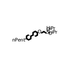 CCCCC[C@H]1CC[C@H]([C@H]2CC[C@H](OCCC[SiH](OC(C)C)OC(C)C)CC2)CC1